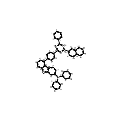 c1ccc(-c2nc(-c3ccc(-c4cccc5oc6cc(N(c7ccccc7)c7ccccc7)ccc6c45)cc3)nc(-c3ccc4ccccc4c3)n2)cc1